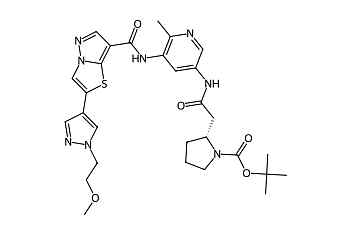 COCCn1cc(-c2cn3ncc(C(=O)Nc4cc(NC(=O)C[C@H]5CCCN5C(=O)OC(C)(C)C)cnc4C)c3s2)cn1